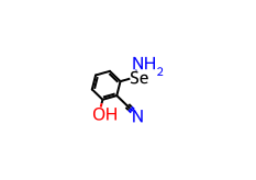 N#Cc1c(O)cccc1[Se]N